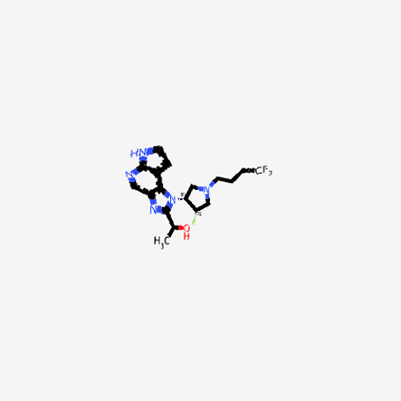 CC(O)c1nc2cnc3[nH]ccc3c2n1[C@@H]1CN(CCCC(F)(F)F)C[C@@H]1F